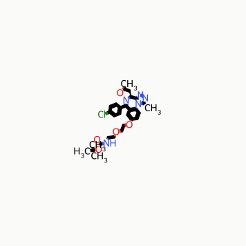 CC(=O)C[C@@H]1N=C(c2ccc(Cl)cc2)c2cc(OCCOCCNC(=O)OC(C)(C)C)ccc2-n2c(C)nnc21